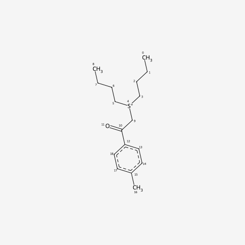 CCCC[S+](CCCC)CC(=O)c1ccc(C)cc1